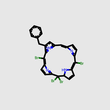 BrC1=C2C=CC(N2)C(Br)(Br)C2=NC(=C(Br)c3[nH]c(cc3Cc3ccccc3)C=C3C=CC1=N3)C=C2